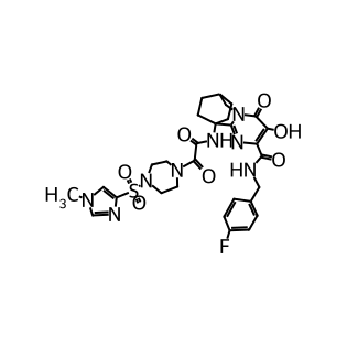 Cn1cnc(S(=O)(=O)N2CCN(C(=O)C(=O)NC34CCC(CC3)Cn3c4nc(C(=O)NCc4ccc(F)cc4)c(O)c3=O)CC2)c1